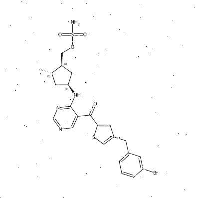 C[C@H]1C[C@H](Nc2ncncc2C(=O)c2cc(Cc3cccc(Br)c3)cs2)C[C@@H]1COS(N)(=O)=O